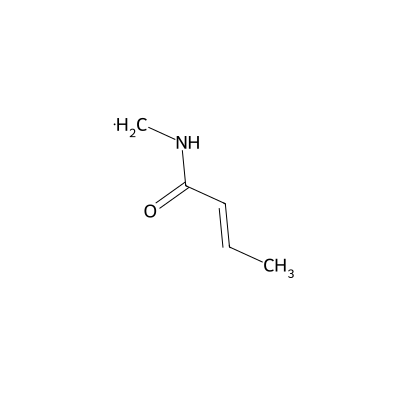 [CH2]NC(=O)C=CC